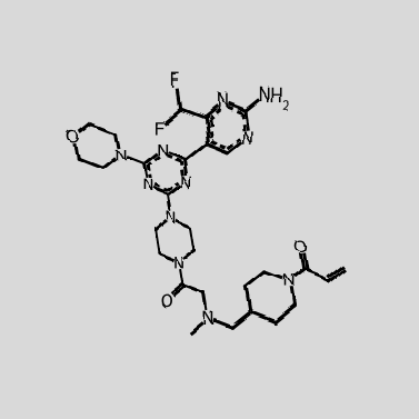 C=CC(=O)N1CCC(CN(C)CC(=O)N2CCN(c3nc(-c4cnc(N)nc4C(F)F)nc(N4CCOCC4)n3)CC2)CC1